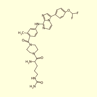 Cc1cc(Nc2nccn3c(-c4ccc(OC(F)F)cc4)cnc23)ccc1C(=O)N1CCN(C(=O)C(N)CCCNC(N)=O)CC1